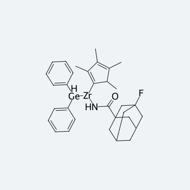 CC1=C(C)C(C)[C]([Zr]([NH]C(=O)C23CC4CC(CC(F)(C4)C2)C3)[GeH]([c]2ccccc2)[c]2ccccc2)=C1C